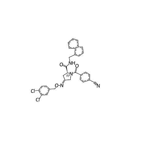 N#Cc1ccc(C(=O)N2CC(=NOCc3ccc(Cl)c(Cl)c3)C[C@H]2C(=O)NCc2cccc3ccccc23)cc1